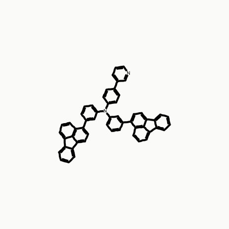 c1cncc(-c2ccc(N(c3cccc(-c4ccc5c6c(cccc46)-c4ccccc4-5)c3)c3cccc(-c4ccc5c6c(cccc46)-c4ccccc4-5)c3)cc2)c1